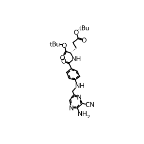 CC(C)(C)OC(=O)CC[C@H](NC(=O)c1ccc(NCc2cnc(N)c(C#N)n2)cc1)C(=O)OC(C)(C)C